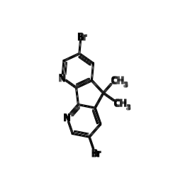 CC1(C)c2cc(Br)cnc2-c2ncc(Br)cc21